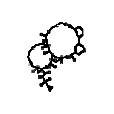 O=C1N[C@H]2CCCCC/C=C\[C@@H]3C[C@@]3(C(=O)NS(=O)(=O)C3CC3)NC(=O)[C@@H]3C[C@H](CN3C2=O)NC(=O)c2cncc(c2)-c2cccc(c2)OCCCCO1